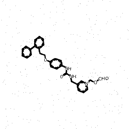 O=COC[n+]1cccc(CNC(=O)Nc2ccc(OCCc3ccccc3-c3ccccc3)cc2)c1